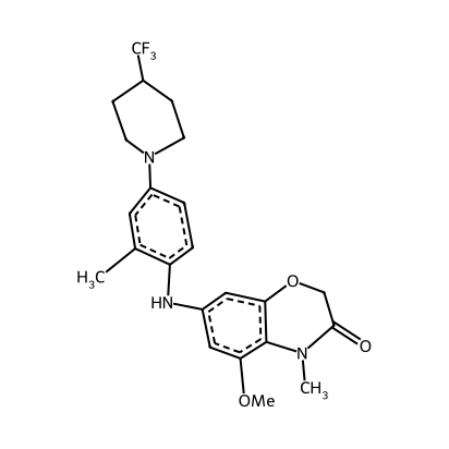 COc1cc(Nc2ccc(N3CCC(C(F)(F)F)CC3)cc2C)cc2c1N(C)C(=O)CO2